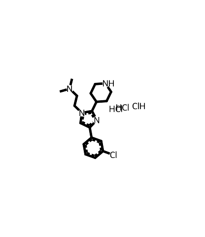 CN(C)CCn1cc(-c2cccc(Cl)c2)nc1C1CCNCC1.Cl.Cl.Cl